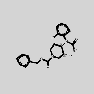 CCC(=O)N(c1ccccc1F)[C@H]1CCN(C(=O)OCc2ccccc2)C[C@H]1C